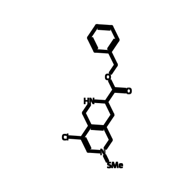 CSN1C=C(Cl)C2=C(CC(C(=O)OCc3ccccc3)NC2)C1